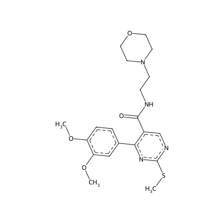 COc1ccc(-c2nc(SC)ncc2C(=O)NCCN2CCOCC2)cc1OC